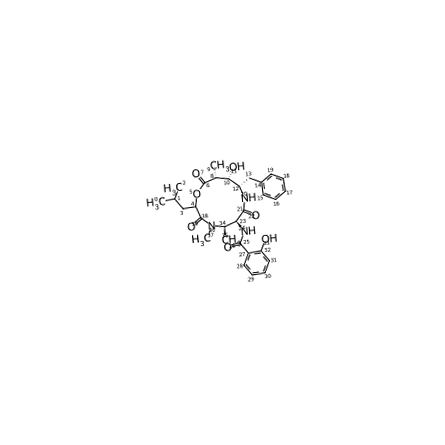 CC(C)CC1OC(=O)[C@H](C)[C@H](O)[C@H](Cc2ccccc2)NC(=O)[C@@H](NC(=O)c2ccccc2O)[C@@H](C)N(C)C1=O